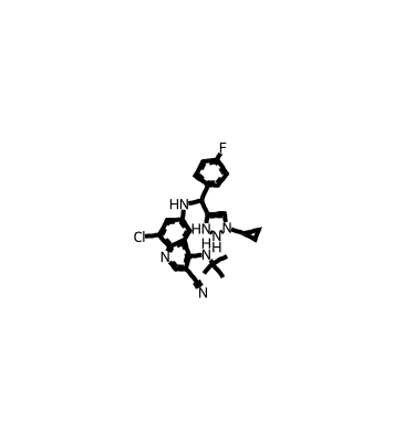 CC(C)(C)Nc1c(C#N)cnc2c(Cl)cc(NC(C3=CN(C4CC4)NN3)c3ccc(F)cc3)cc12